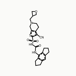 N#Cc1c(S(=O)(=O)NC(=O)Nc2c3c(cc4c2CCC4)CCC3)sc2c1CCN(CC1COC1)C2